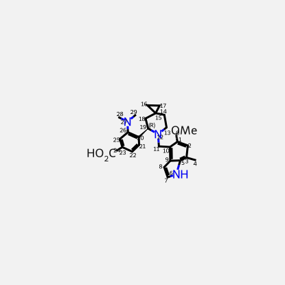 COc1cc(C)c2[nH]ccc2c1CN1CCC2(CC2)C[C@@H]1c1ccc(C(=O)O)cc1N(C)C